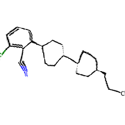 CCC[C@H]1CC[C@H]([C@H]2CC[C@H](c3cccc(F)c3C#N)CC2)CC1